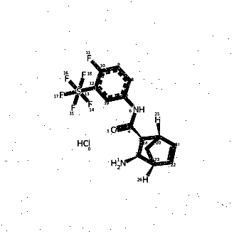 Cl.N[C@H]1[C@@H](C(=O)Nc2ccc(F)c(S(F)(F)(F)(F)F)c2)[C@@H]2C=C[C@H]1C2